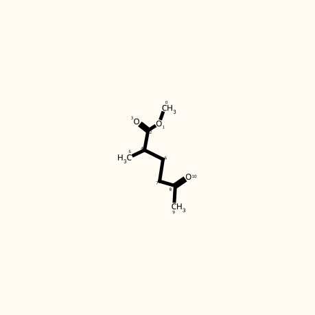 COC(=O)C(C)CCC(C)=O